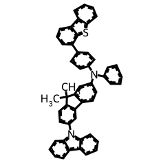 CC1(C)c2ccc(-n3c4ccccc4c4ccccc43)cc2-c2ccc(N(c3ccccc3)c3ccc(-c4cccc5c4sc4ccccc45)cc3)cc21